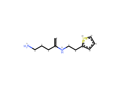 C=C(CCCN)NCCc1cccs1